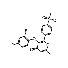 Cc1cc(=O)c(Oc2ccc(F)cc2F)c(-c2ccc(S(C)(=O)=O)cc2)o1